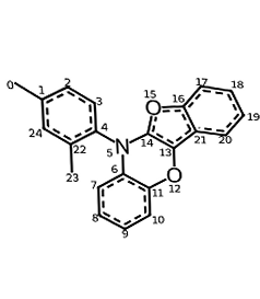 Cc1ccc(N2c3ccccc3Oc3c2oc2ccccc32)c(C)c1